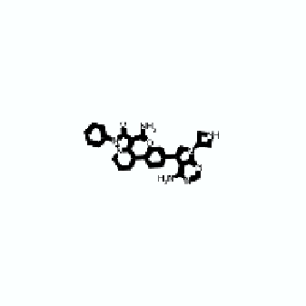 NC(=O)c1c2n(n(-c3ccccc3)c1=O)CCCC2c1ccc(-c2cn(C3CNC3)c3ncnc(N)c23)cc1